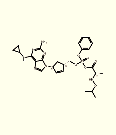 CC(C)ON[C@@H](C)C(=O)OP(=O)(OC[C@@H]1C=C[C@H](n2cnc3c(NC4CC4)nc(N)nc32)C1)Oc1ccccc1